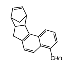 O=Cc1cccc2c3c(ccc12)CC1C2C=CC(C2)C31